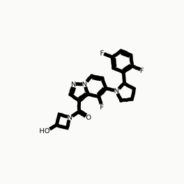 O=C(c1cnn2ccc(N3CCCC3c3cc(F)ccc3F)c(F)c12)N1CC(O)C1